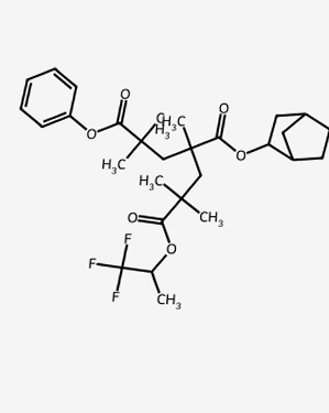 CC(OC(=O)C(C)(C)CC(C)(CC(C)(C)C(=O)Oc1ccccc1)C(=O)OC1CC2CCC1C2)C(F)(F)F